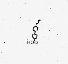 C=CCC[C@H]1CC[C@H]([C@H]2CC[C@H](C(=O)O)CC2)CC1